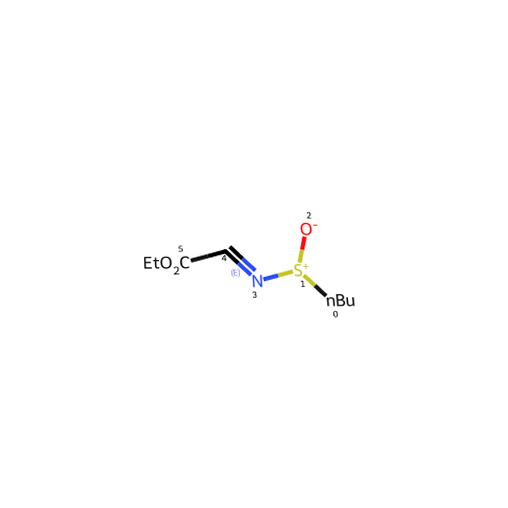 CCCC[S+]([O-])/N=C/C(=O)OCC